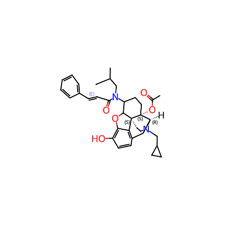 CC(=O)O[C@@]12CCC(N(CC(C)C)C(=O)/C=C/c3ccccc3)C3Oc4c(O)ccc5c4[C@@]31CCN(CC1CC1)[C@@H]2C5